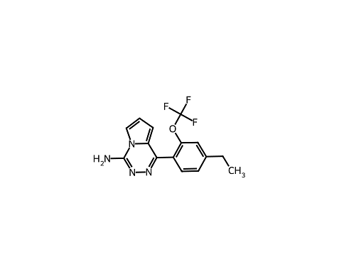 CCc1ccc(-c2nnc(N)n3cccc23)c(OC(F)(F)F)c1